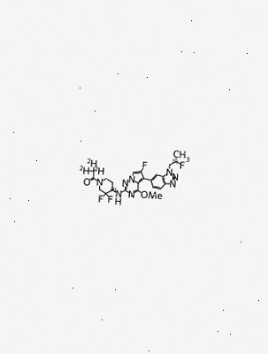 [2H]C([2H])([2H])C(=O)N1CC[C@@H](Nc2nc(OC)c3c(-c4ccc5nnn(C[C@H](C)F)c5c4)c(F)cn3n2)C(F)(F)C1